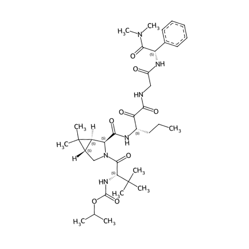 CCC[C@H](NC(=O)[C@@H]1[C@H]2[C@H](CN1C(=O)[C@@H](NC(=O)OC(C)C)C(C)(C)C)C2(C)C)C(=O)C(=O)NCC(=O)N[C@H](C(=O)N(C)C)c1ccccc1